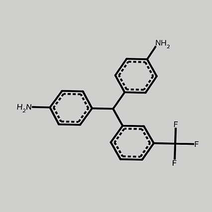 Nc1ccc(C(c2ccc(N)cc2)c2cccc(C(F)(F)F)c2)cc1